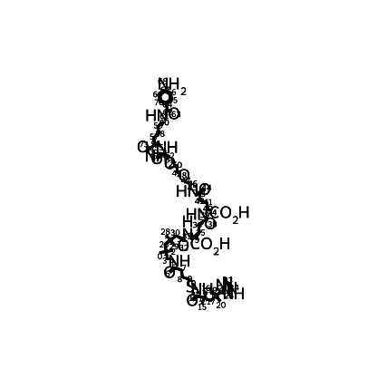 CC(C)(CNC(=O)CCCSNC(=O)C(C)(C)CC(C)(C)c1nnn[nH]1)CC(C)(C)CC(=O)NC(CCC(=O)NC(CCC(=O)NCCOCCOCC(=O)NC(CCCCNC(=O)c1ccc(N)cc1)C(N)=O)C(=O)O)C(=O)O